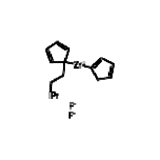 CC(C)CC[C]1([Zr+2][C]2=CC=CC2)C=CC=C1.[F-].[F-]